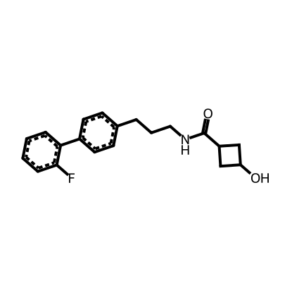 O=C(NCCCc1ccc(-c2ccccc2F)cc1)C1CC(O)C1